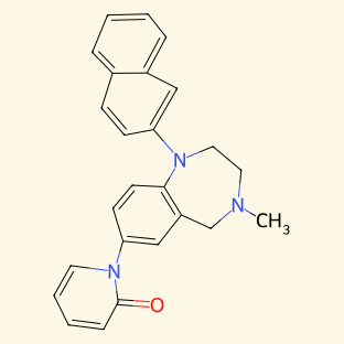 CN1CCN(c2ccc3ccccc3c2)c2ccc(-n3ccccc3=O)cc2C1